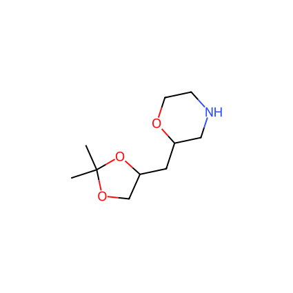 CC1(C)OCC(CC2CNCCO2)O1